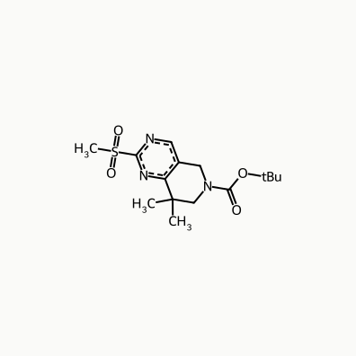 CC(C)(C)OC(=O)N1Cc2cnc(S(C)(=O)=O)nc2C(C)(C)C1